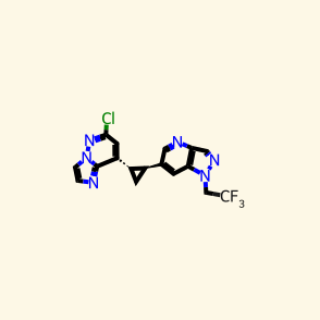 FC(F)(F)Cn1ncc2ncc([C@H]3C[C@@H]3c3cc(Cl)nn4ccnc34)cc21